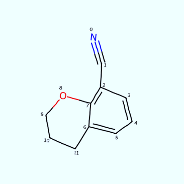 N#Cc1cccc2c1OCCC2